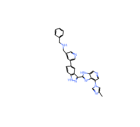 Cc1cn(-c2cncc3[nH]c(-c4n[nH]c5ccc(-c6cncc(CNCc7ccccc7)c6)cc45)nc23)cn1